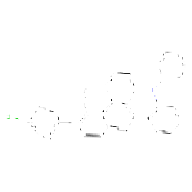 Clc1ccc(-c2ccc3ccc4c(N(c5ccccc5)c5ccccc5)ccc5ccc2c3c54)cc1